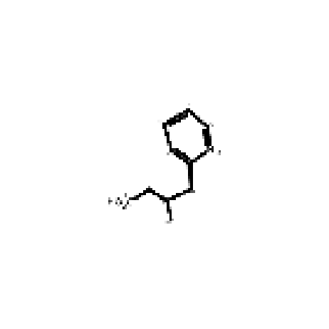 CC(CC(=O)O)Cc1ccccn1